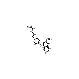 CCCCc1cc(OC2CCN(CCC[CH]C(C)(C)C)CC2)c2ncccc2c1